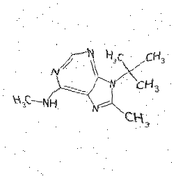 CNc1ncnc2c1nc(C)n2C(C)(C)C